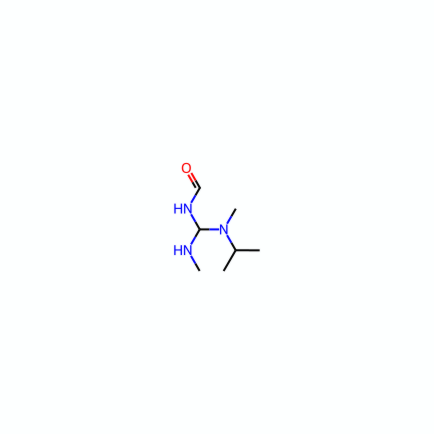 CNC(NC=O)N(C)C(C)C